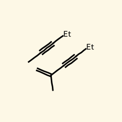 C=C(C)C#CCC.CC#CCC